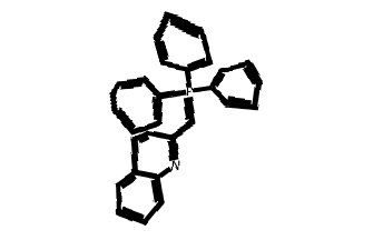 C(c1ccc2ccccc2n1)=P(c1ccccc1)(c1ccccc1)c1ccccc1